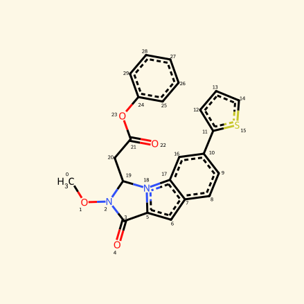 CON1C(=O)c2cc3ccc(-c4cccs4)cc3n2C1CC(=O)Oc1ccccc1